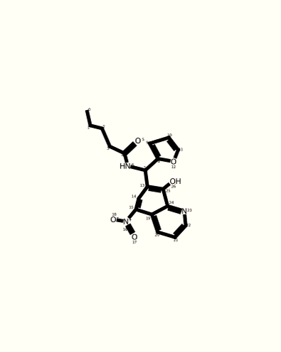 CCCCC(=O)NC(c1ccco1)c1cc([N+](=O)[O-])c2cccnc2c1O